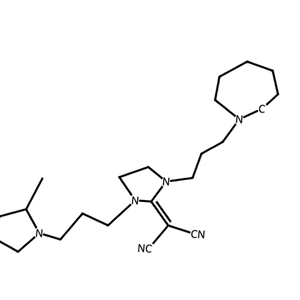 CC1CCCN1CCCN1CCN(CCCN2CCCCCC2)C1=C(C#N)C#N